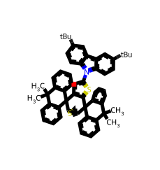 CC(C)(C)c1ccc2c(c1)c1cc(C(C)(C)C)ccc1n2-c1cc2c(s1)C1(c3ccccc3C(C)(C)c3ccccc31)c1ccsc1C21c2ccccc2C(C)(C)c2ccccc21